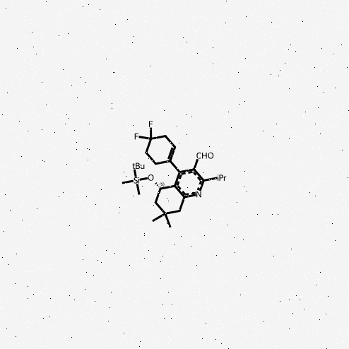 CC(C)c1nc2c(c(C3=CCC(F)(F)CC3)c1C=O)[C@@H](O[Si](C)(C)C(C)(C)C)CC(C)(C)C2